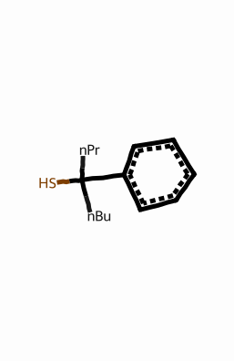 CCCCC(S)(CCC)c1ccccc1